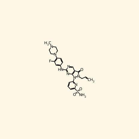 C=CCn1c(=O)c2cnc(Nc3ccc(N4CCN(C)CC4)c(F)c3)nc2n1-c1cccc(S(N)(=O)=O)n1